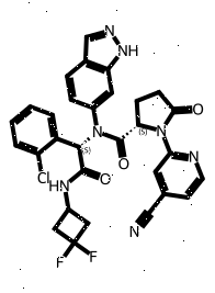 N#Cc1ccnc(N2C(=O)CC[C@H]2C(=O)N(c2ccc3cn[nH]c3c2)[C@H](C(=O)NC2CC(F)(F)C2)c2ccccc2Cl)c1